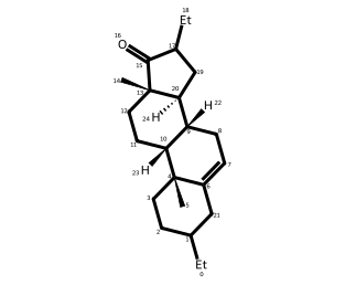 CCC1CC[C@@]2(C)C(=CC[C@@H]3[C@H]2CC[C@]2(C)C(=O)C(CC)C[C@@H]32)C1